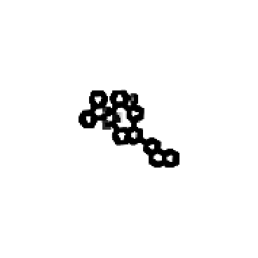 c1ccc(-c2nc(-c3ccccc3-c3ccccc3)nc(-c3cccc4oc5ccc(-c6cccc(-c7ccc8c(ccc9ccccc98)c7)c6)cc5c34)n2)cc1